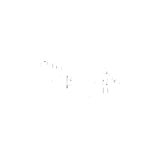 C=Cc1cc(C(C)NC(=O)OC(C)(C)C)ccc1NS(C)(=O)=O